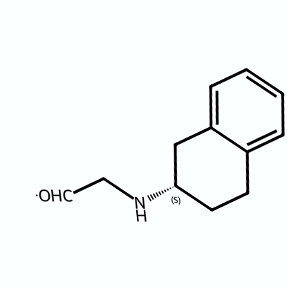 O=[C]CN[C@H]1CCc2ccccc2C1